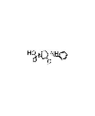 CO[C@H]1CN(C(=O)O)CC[C@H]1NCc1ccccc1